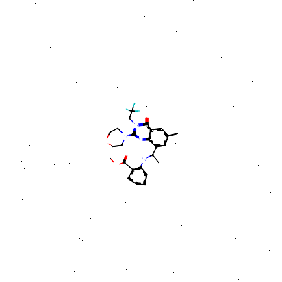 COC(=O)c1ccccc1NC(C)c1cc(C)cc2c(=O)n(CC(F)(F)F)c(N3CCOCC3)nc12